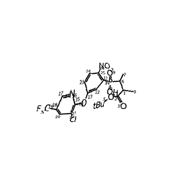 CC(C(=O)OC(C)(C)C)C(C)P(=O)(O)c1cc(Oc2ncc(C(F)(F)F)cc2Cl)ccc1[N+](=O)[O-]